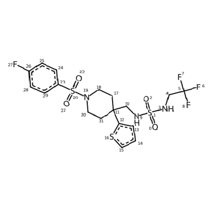 O=S(=O)(NCC(F)(F)F)NCC1(c2cccs2)CCN(S(=O)(=O)c2ccc(F)cc2)CC1